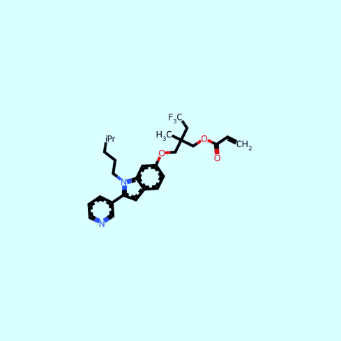 C=CC(=O)OCC(C)(COc1ccc2cc(-c3cccnc3)n(CCCC(C)C)c2c1)CC(F)(F)F